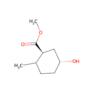 COC(=O)[C@H]1C[C@H](O)CCC1C